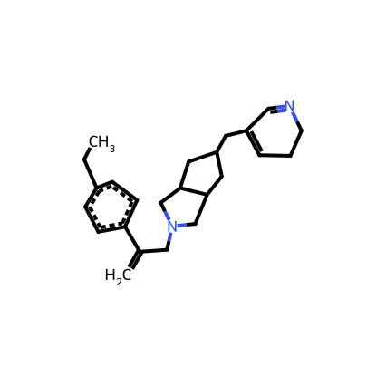 C=C(CN1CC2CC(CC3=CCCN=C3)CC2C1)c1ccc(CC)cc1